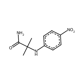 CC(C)(Nc1ccc([N+](=O)[O-])cc1)C(N)=O